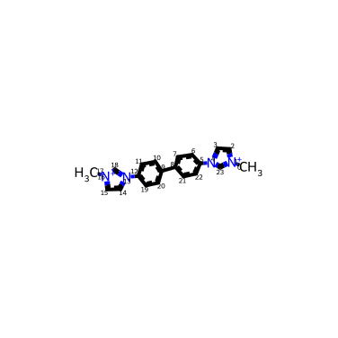 C[n+]1ccn(-c2ccc(-c3ccc(-n4cc[n+](C)c4)cc3)cc2)c1